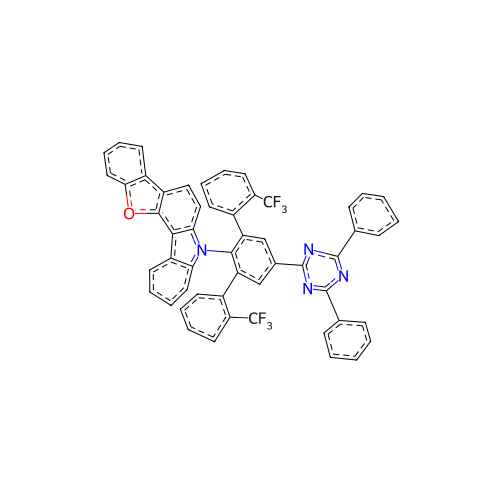 FC(F)(F)c1ccccc1-c1cc(-c2nc(-c3ccccc3)nc(-c3ccccc3)n2)cc(-c2ccccc2C(F)(F)F)c1-n1c2ccccc2c2c3oc4ccccc4c3ccc21